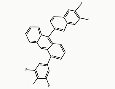 Fc1cc2ccc(-c3c4ccccc4cc4c(-c5cc(F)c(F)c(F)c5)cccc34)cc2cc1F